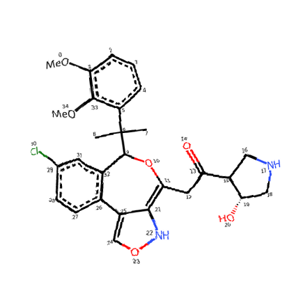 COc1cccc(C(C)(C)C2OC(CC(=O)C3CNC[C@@H]3O)=C3NOC=C3c3ccc(Cl)cc32)c1OC